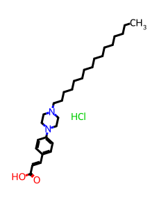 CCCCCCCCCCCCCCCCN1CCN(c2ccc(C=CC(=O)O)cc2)CC1.Cl